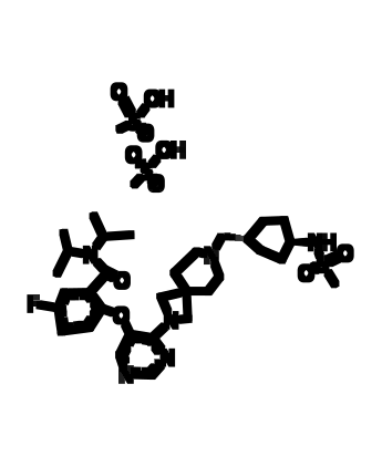 CC(C)N(C(=O)c1cc(F)ccc1Oc1cncnc1N1CC2(CCN(C[C@H]3CC[C@H](NS(C)(=O)=O)CC3)CC2)C1)C(C)C.CS(=O)(=O)O.CS(=O)(=O)O